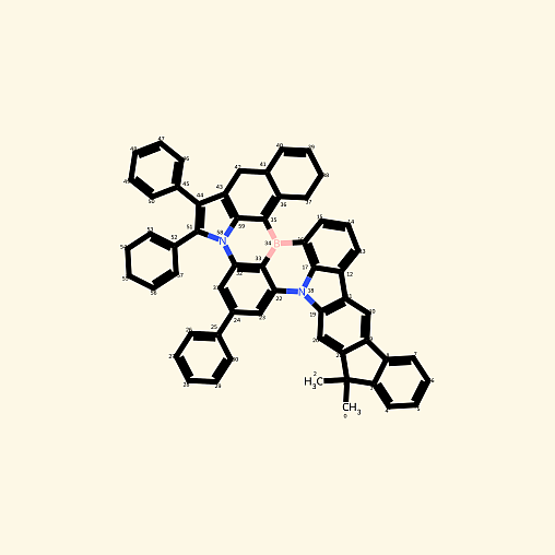 CC1(C)c2ccccc2-c2cc3c4cccc5c4n(c3cc21)-c1cc(-c2ccccc2)cc2c1B5C1=C3CCC=CC3Cc3c(-c4ccccc4)c(C4=CCCC=C4)n-2c31